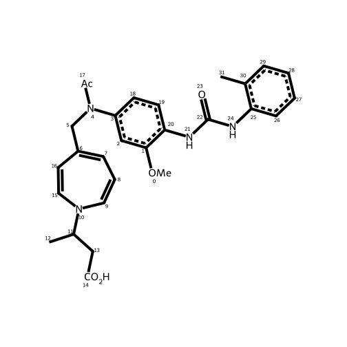 COc1cc(N(CC2=CC=CN(C(C)CC(=O)O)C=C2)C(C)=O)ccc1NC(=O)Nc1ccccc1C